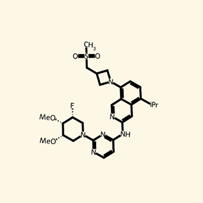 CO[C@@H]1[C@H](F)CN(c2nccc(Nc3cc4c(C(C)C)ccc(N5CC(CS(C)(=O)=O)C5)c4cn3)n2)C[C@@H]1OC